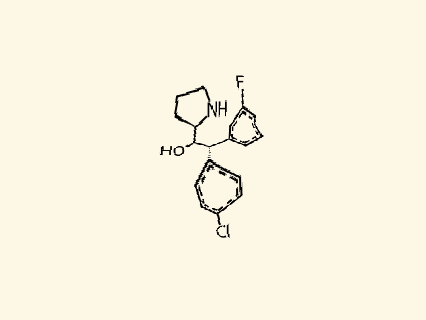 O[C@H]([C@@H](c1ccc(Cl)cc1)c1cccc(F)c1)[C@H]1CCCN1